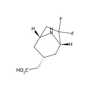 O=C(O)C[C@@H]1C[C@@H]2CC(F)(F)[C@H](C1)N2